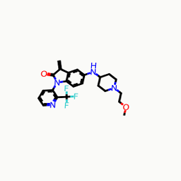 C=C1C(=O)N(c2cccnc2C(F)(F)F)c2ccc(NC3CCN(CCOC)CC3)cc21